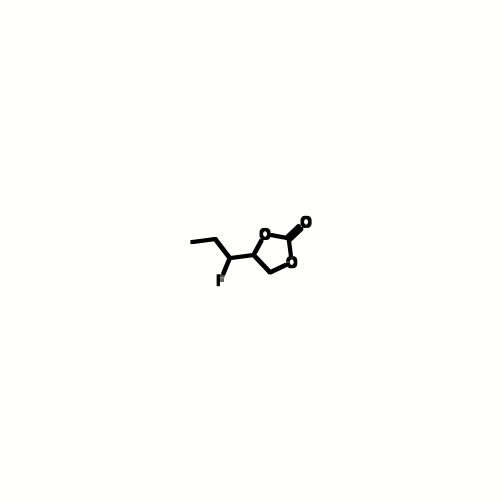 CCC(F)C1COC(=O)O1